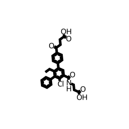 CCc1c(-c2ccc(C(=O)CCC(=O)O)cc2)cc(C(=O)NCCC(=O)O)c(Cl)c1-c1ccccc1